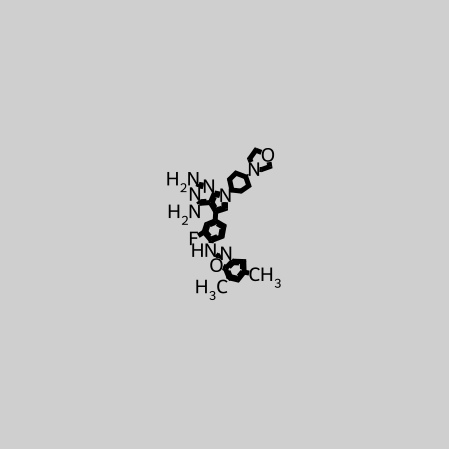 Cc1cc(C)c2oc(Nc3ccc(-c4cn([C@H]5CC[C@@H](N6CCOCC6)CC5)c5nc(N)nc(N)c45)cc3F)nc2c1